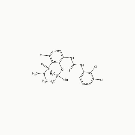 CN(C)S(=O)(=O)c1c(Cl)ccc(NC(=S)Nc2cccc(Cl)c2Cl)c1O[Si](C)(C)C(C)(C)C